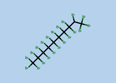 Br[C](C(Br)(Br)Br)C(Br)(Br)C(Br)(Br)C(Br)(Br)C(Br)(Br)C(Br)(Br)C(Br)(Br)C(Br)(Br)C(Br)(Br)Br